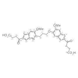 COc1cc2sc(C(=O)CCC(=O)O)cc2cc1OCCCc1nc2cc(C(=O)CCC(=O)O)sc2cc1OC